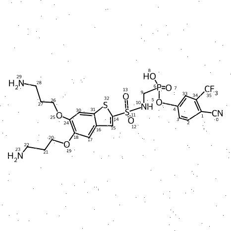 N#Cc1ccc(OP(=O)(O)CNS(=O)(=O)c2cc3cc(OCCCN)c(OCCCN)cc3s2)cc1C(F)(F)F